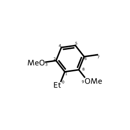 CCc1c(OC)ccc(C)c1OC